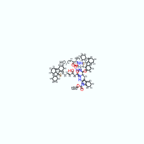 CC(C)[C@@H](NC(=O)[C@@H](CSC(c1ccccc1)(c1ccccc1)c1ccccc1)NC(=O)[C@@H](Cc1cn(C(=O)OC(C)(C)C)c2ccccc12)NC(=O)C[C@H](O)C=CCCSC(c1ccccc1)(c1ccccc1)c1ccccc1)[C@@H](O)CC(=O)O